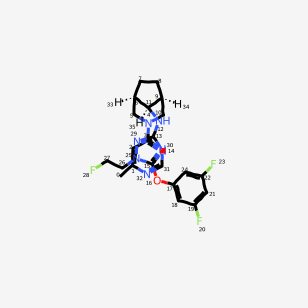 Cc1cc(N2C[C@H]3CC[C@@H](C2)[C@H]3Nc2nc(Oc3cc(F)cc(F)c3)n(CCF)n2)ncn1